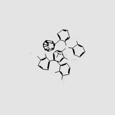 COc1ccccc1P(c1ccccc1OC)c1ccccc1[C]12[CH]3[CH]4[CH]5[C@]1(C(C)P(c1cccc(C(F)(F)F)c1C(F)(F)F)c1cccc(C(F)(F)F)c1C(F)(F)F)[Fe]43521678[CH]2[CH]1[CH]6[CH]7[CH]28